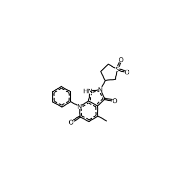 Cc1cc(=O)n(-c2ccccc2)c2[nH]n(C3CCS(=O)(=O)C3)c(=O)c12